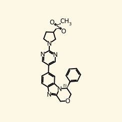 CS(=O)(=O)C1CCN(c2ncc(-c3ccc4nc5n(c4c3)[C@@H](c3ccccc3)COC5)cn2)C1